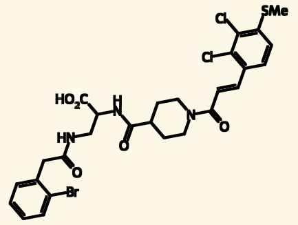 CSc1ccc(C=CC(=O)N2CCC(C(=O)NC(CNC(=O)Cc3ccccc3Br)C(=O)O)CC2)c(Cl)c1Cl